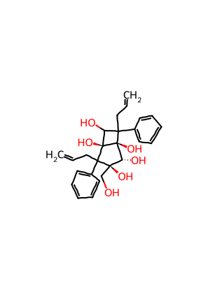 C=CCC1(c2ccccc2)[C@@](O)(CO)[C@@H](O)[C@@]2(O)C(CC=C)(c3ccccc3)C(O)[C@@]12O